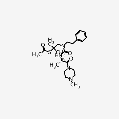 CC(=O)SC(C)(C)CN(CCc1ccccc1)C(=O)N[C@@H](C)C(=O)N1CCN(C)CC1